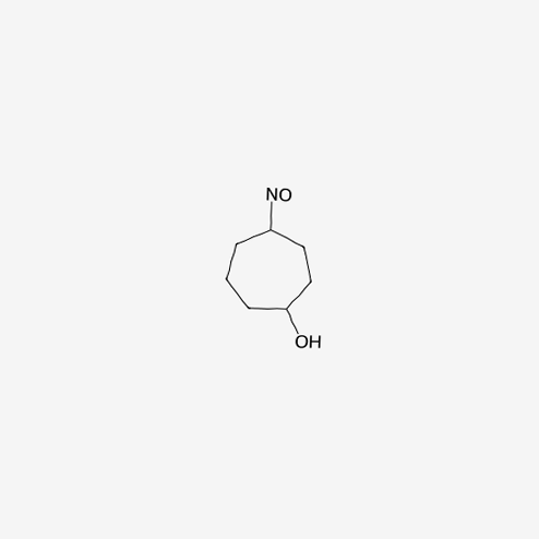 O=NC1CCCC(O)CC1